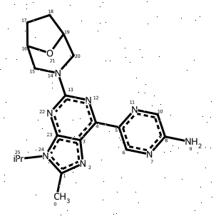 Cc1nc2c(-c3cnc(N)cn3)nc(N3CC4CCC(C3)O4)nc2n1C(C)C